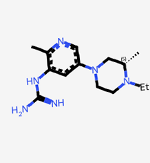 CCN1CCN(c2cnc(C)c(NC(=N)N)c2)C[C@@H]1C